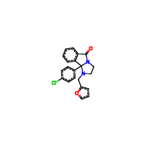 O=C1c2ccccc2C2(c3ccc(Cl)cc3)N(Cc3ccco3)CCN12